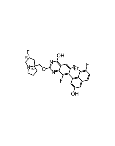 CCc1c(F)ccc2cc(O)cc(-c3c(F)cc4c(O)nc(OC[C@@]56CCCN5C[C@H](F)C6)nc4c3F)c12